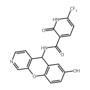 O=C(NC1c2ccncc2Oc2ccc(O)cc21)c1ccc(C(F)(F)F)[nH]c1=O